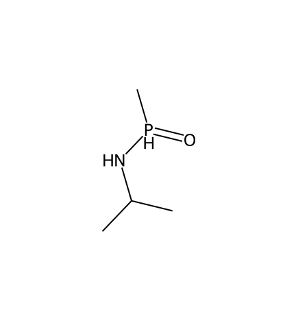 CC(C)N[PH](C)=O